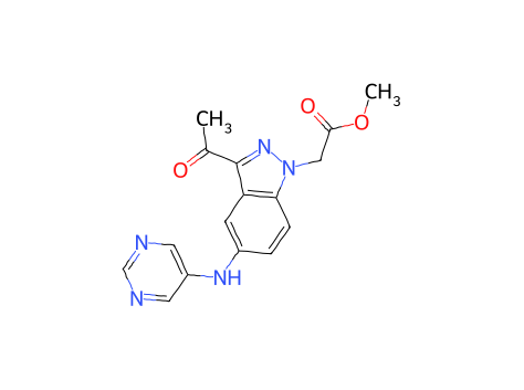 COC(=O)Cn1nc(C(C)=O)c2cc(Nc3cncnc3)ccc21